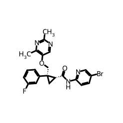 Cc1ncc(OC[C@@]2(c3cccc(F)c3)C[C@H]2C(=O)Nc2ccc(Br)cn2)c(C)n1